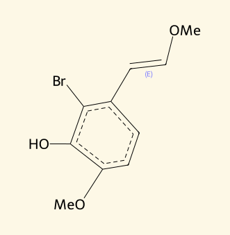 CO/C=C/c1ccc(OC)c(O)c1Br